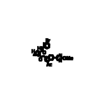 COc1ncc(-c2ccc3c(c2)c(C(C)=O)cn3CC(=O)N2C3C[C@@H]3C[C@H]2C(=O)Nc2cccc(Br)n2)cn1